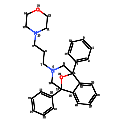 c1ccc(C23CN(CCCN4CCOCC4)CC(c4ccccc4)(O2)c2ccccc23)cc1